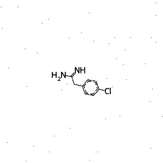 N=C(N)Cc1ccc(Cl)cc1